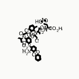 CC1COc2ccccc2N1C(=O)C(Cl)Cl.CCc1cccc(C)c1N(C(=O)CCl)C(C)COC.CP(=O)(O)CCC(N)C(=O)O.Nc1c([N+](=O)[O-])ccc(Oc2ccccc2)c1Cl